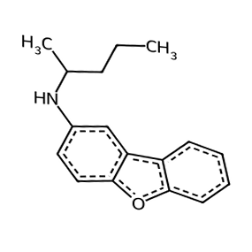 CCCC(C)Nc1ccc2oc3ccccc3c2c1